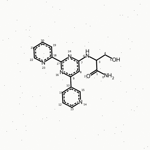 NC(=O)C(CO)Nc1cc(-c2cccnc2)nc(-c2ccccn2)n1